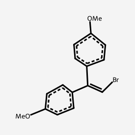 COc1ccc(C(=CBr)c2ccc(OC)cc2)cc1